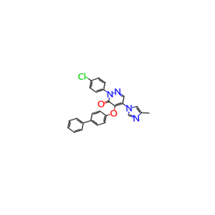 Cc1cn(-c2cnn(-c3ccc(Cl)cc3)c(=O)c2Oc2ccc(-c3ccccc3)cc2)cn1